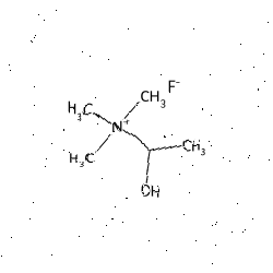 CC(O)[N+](C)(C)C.[F-]